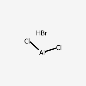 Br.[Cl][Al][Cl]